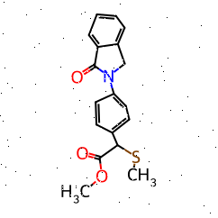 COC(=O)C(SC)c1ccc(N2Cc3ccccc3C2=O)cc1